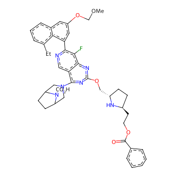 CCc1cccc2cc(OCOC)cc(-c3ncc4c(N5CC6CCC(C5)N6C(=O)O)nc(OC[C@@H]5CC[C@@H](CCOC(=O)c6ccccc6)N5)nc4c3F)c12